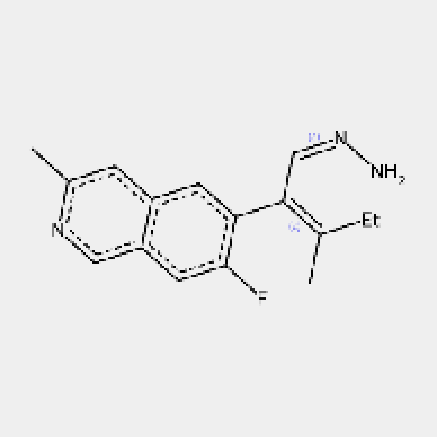 CC/C(C)=C(\C=N/N)c1cc2cc(C)ncc2cc1F